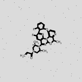 C=CC(=O)N1C[C@@H](C)N(C2=NC3OC(C)c4nccc5c4N3c3nc(c(F)cc32)-c2c(F)cccc2O5)[C@@H](C)C1